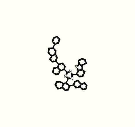 c1ccc(-c2ccc3ccc(-c4ccc(-c5nc(-c6c(-c7ccc8ccccc8c7)ccc7ccccc67)nc(-c6cccc7c6sc6ccccc67)n5)c5ccccc45)cc3c2)cc1